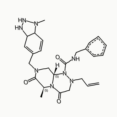 C=CCN1CC(=O)N2[C@@H](C)C(=O)N(CC3=CC4NNN(C)C4C=C3)C[C@@H]2N1C(=O)NCc1ccccc1